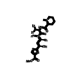 CCCN(C(=O)C(NC(=O)C1CCCCN1C)C(CC)CC)[C@H](C[C@@H](O)c1nc(C(=O)OC)cs1)C(C)C